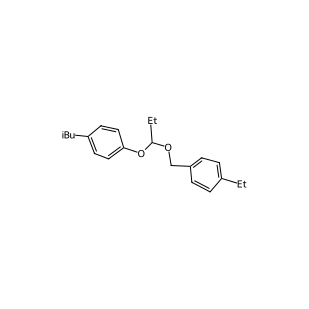 CCc1ccc(COC(CC)Oc2ccc(C(C)CC)cc2)cc1